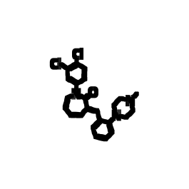 CN1CCN(c2ccccc2C=C2C=CC=CN(c3ccc(Cl)c(Cl)c3)C2=O)CC1